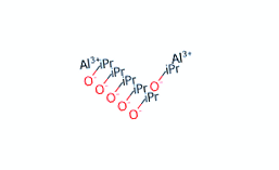 CC(C)[O-].CC(C)[O-].CC(C)[O-].CC(C)[O-].CC(C)[O-].CC(C)[O-].[Al+3].[Al+3]